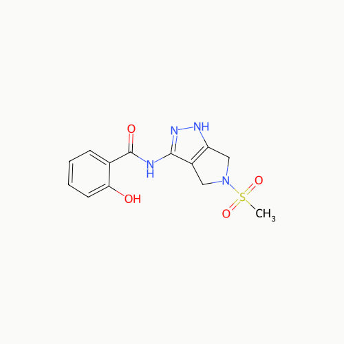 CS(=O)(=O)N1Cc2[nH]nc(NC(=O)c3ccccc3O)c2C1